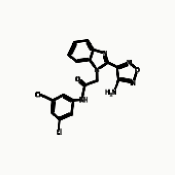 Nc1nonc1-c1nc2ccccc2n1CC(=O)Nc1cc(Cl)cc(Cl)c1